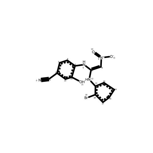 N#Cc1ccc(NC(=C[N+](=O)[O-])Nc2ccccc2Br)c(O)c1